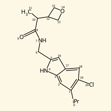 CC(C)c1cc2[nH]c(CNC(=O)C(C)C3COC3)cc2cc1Cl